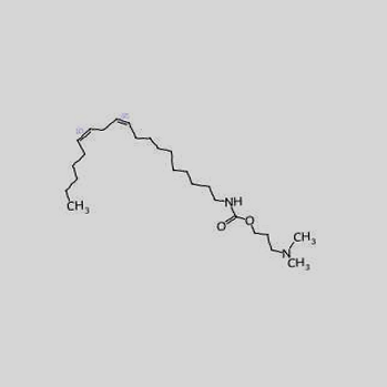 CCCCC/C=C\C/C=C\CCCCCCCCCNC(=O)OCCCN(C)C